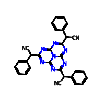 N#CC(C1=NC2=NC(C(C#N)c3ccccc3)=NC3=NC(C(C#N)c4ccccc4)=NC(=N1)N23)c1ccccc1